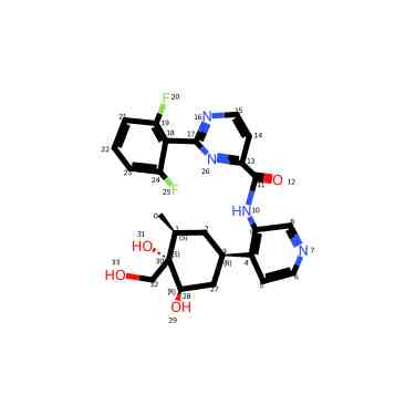 C[C@H]1C[C@@H](c2ccncc2NC(=O)c2ccnc(-c3c(F)cccc3F)n2)C[C@@H](O)[C@@]1(O)CO